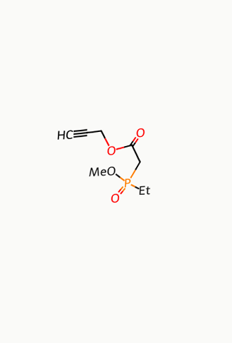 C#CCOC(=O)CP(=O)(CC)OC